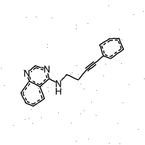 C(#Cc1ccccc1)CCNc1ncnc2ccccc12